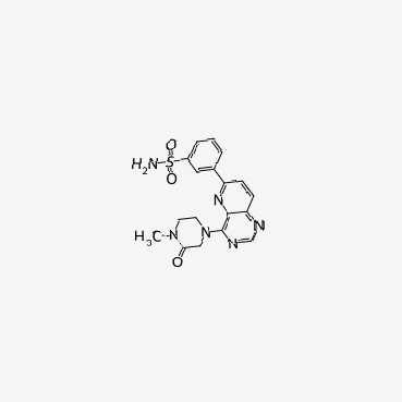 CN1CCN(c2ncnc3ccc(-c4cccc(S(N)(=O)=O)c4)nc23)CC1=O